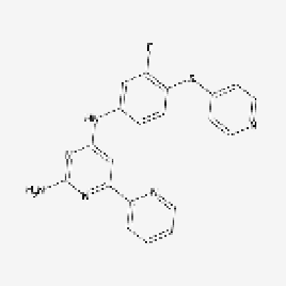 Nc1nc(Nc2ccc(Sc3ccncc3)c(F)c2)cc(-c2ccccn2)n1